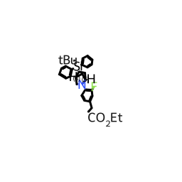 CCOC(=O)CCc1ccc(N2C[C@@H]3C[C@H]2CC3[Si](c2ccccc2)(c2ccccc2)C(C)(C)C)c(F)c1